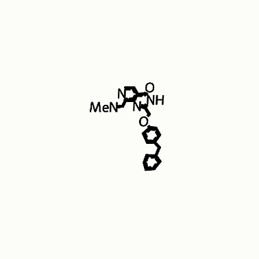 CNCc1nccc2c(=O)[nH]c(COc3ccc(Cc4ccccc4)cc3)nc12